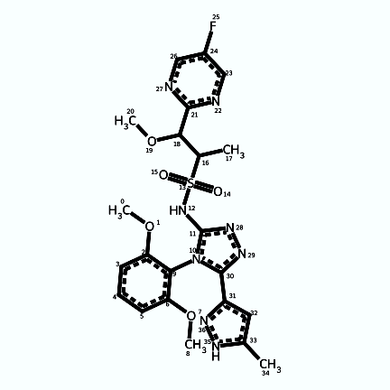 COc1cccc(OC)c1-n1c(NS(=O)(=O)C(C)C(OC)c2ncc(F)cn2)nnc1-c1cc(C)[nH]n1